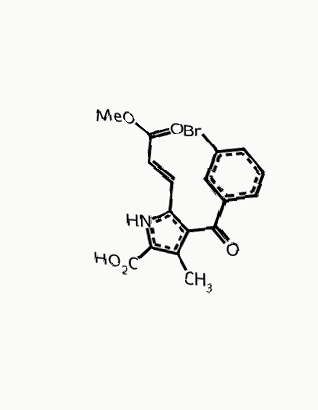 COC(=O)/C=C/c1[nH]c(C(=O)O)c(C)c1C(=O)c1cccc(Br)c1